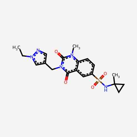 CCn1cc(Cn2c(=O)c3cc(S(=O)(=O)NC4(C)CC4)ccc3n(C)c2=O)cn1